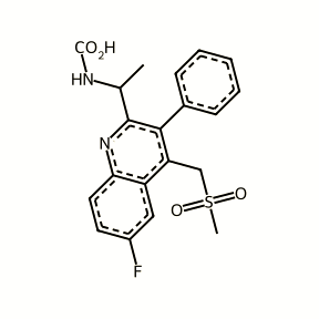 CC(NC(=O)O)c1nc2ccc(F)cc2c(CS(C)(=O)=O)c1-c1ccccc1